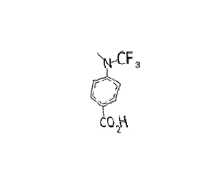 CN(c1ccc(C(=O)O)cc1)C(F)(F)F